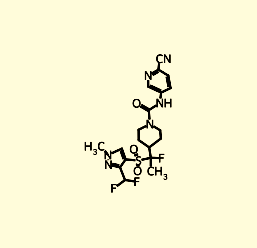 Cn1cc(S(=O)(=O)C(C)(F)C2CCN(C(=O)Nc3ccc(C#N)nc3)CC2)c(C(F)F)n1